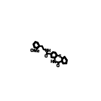 COc1ccccc1CCNC(=O)c1ccc2c(c1)NC(=O)c1ccccc1S2